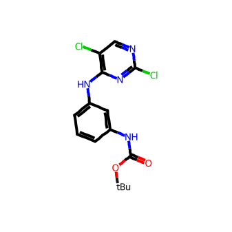 CC(C)(C)OC(=O)Nc1cccc(Nc2nc(Cl)ncc2Cl)c1